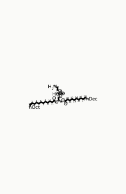 CCCCCCCC/C=C\CCCCCCCCCC(=O)O[C@H](COC(=O)CCCCCCCCCCCCCCCCCCC)COP(=O)(O)OCCN